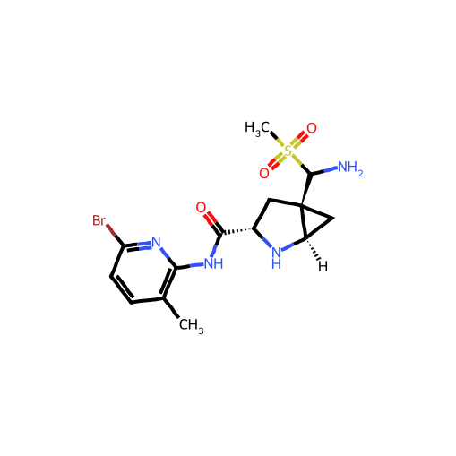 Cc1ccc(Br)nc1NC(=O)[C@@H]1C[C@]2(C(N)S(C)(=O)=O)C[C@H]2N1